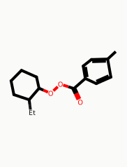 CCC1CCCC[C]1OOC(=O)c1ccc(C)cc1